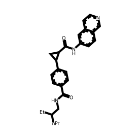 CCCC(CC)CNC(=O)c1ccc(C2CC2C(=O)Nc2ccc3cnccc3c2)cc1